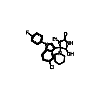 CCN1C(=O)NC(O)C1(c1cn(-c2ccc(F)cc2)c2ccc(Cl)cc12)N1CCCCC1